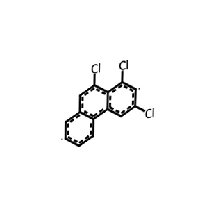 Clc1[c]c(Cl)c2c(Cl)cc3c[c]ccc3c2c1